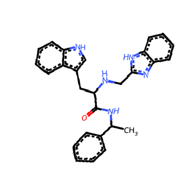 CC(NC(=O)C(Cc1c[nH]c2ccccc12)NCc1nc2ccccc2[nH]1)c1ccccc1